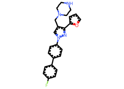 Fc1ccc(-c2ccc(-n3cc(CN4CCNCC4)c(-c4ccco4)n3)cc2)cc1